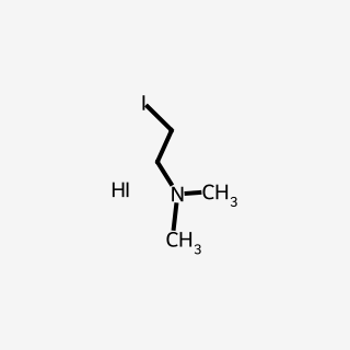 CN(C)CCI.I